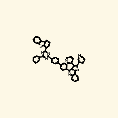 c1ccc(-c2nc(-c3ccc(-c4ccc(-c5nc6ccccc6c6sc(-c7cccnc7)c(-c7cccnc7)c56)cc4)cc3)nc(-c3cccc4c3sc3ccccc34)n2)cc1